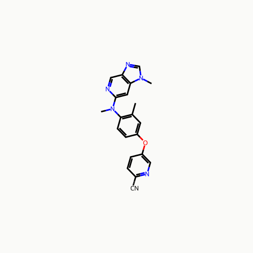 Cc1cc(Oc2ccc(C#N)nc2)ccc1N(C)c1cc2c(cn1)ncn2C